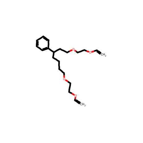 C=COCCOCCCCC(CCOCCOC=C)c1ccccc1